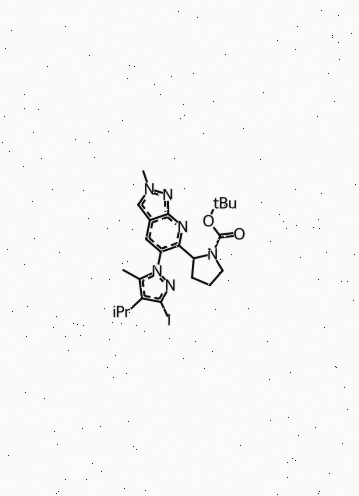 Cc1c(C(C)C)c(I)nn1-c1cc2cn(C)nc2nc1C1CCCN1C(=O)OC(C)(C)C